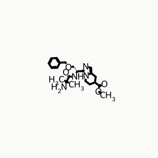 COC(=O)C1CCn2c(cnc2[C@@H](COCc2ccccc2)NC(=O)C(C)(C)N)C1